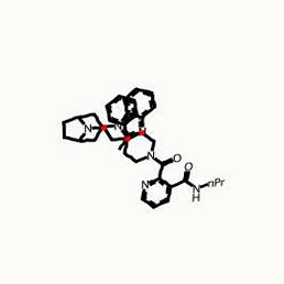 CCCNC(=O)c1cccnc1C(=O)N1CCC(CCN2C3CCC2CC(n2c(C)nc4ccccc42)C3)(c2ccccc2)CC1